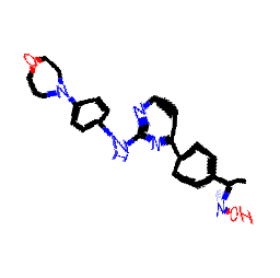 C/C(=N\O)c1ccc(-c2ccnc(Nc3ccc(N4CCOCC4)cc3)n2)cc1